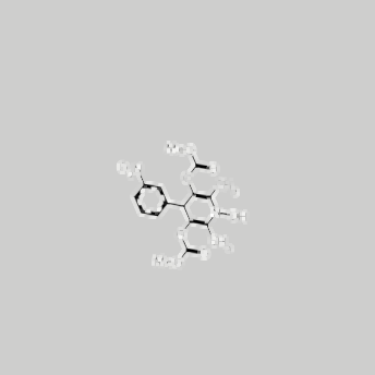 COC(=O)OC1=C(C)N(O)C(C)=C(OC(=O)OC)C1c1cccc([N+](=O)[O-])c1